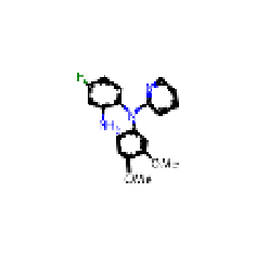 COc1ccc(N(c2ccccn2)c2ccc(F)cc2N)cc1OC